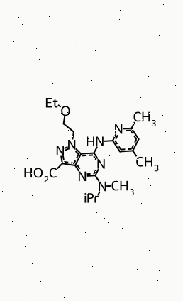 CCOCCn1nc(C(=O)O)c2nc(N(C)C(C)C)nc(Nc3cc(C)cc(C)n3)c21